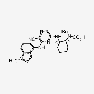 Cn1ccc2c(Nc3nc(N[C@@H]4CCCC[C@@H]4N(C(=O)O)C(C)(C)C)cnc3C#N)cccc21